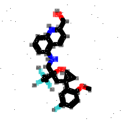 COc1ccc(F)cc1C1(CC(O)(CNc2cccc3nc(CO)ccc23)C(F)(F)F)CC1